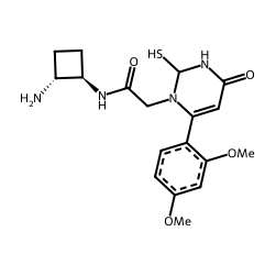 COc1ccc(C2=CC(=O)NC(S)N2CC(=O)N[C@@H]2CC[C@H]2N)c(OC)c1